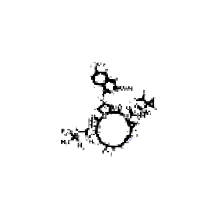 COc1ccc2c(O[C@@H]3C[C@H]4C(=O)N[C@]5(C(=O)NS(=O)(=O)C6(C(F)F)CC6)C[C@H]5/C=C\CC[C@@H](C)C[C@@H](C)[C@H](NC(=O)OC(C)(C)C(F)(F)F)C(=O)N4C3)nc(OC)cc2c1